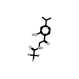 CC(C)c1ccc(C(=O)CNC(=O)C(F)(F)F)c(O)c1